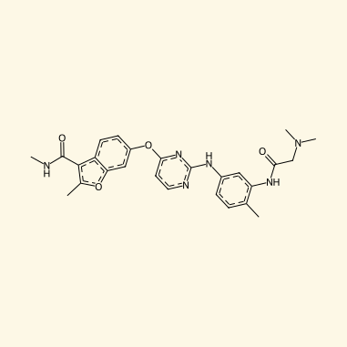 CNC(=O)c1c(C)oc2cc(Oc3ccnc(Nc4ccc(C)c(NC(=O)CN(C)C)c4)n3)ccc12